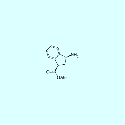 COC(=O)[C@@H]1C[C@H](N)c2ccccc21